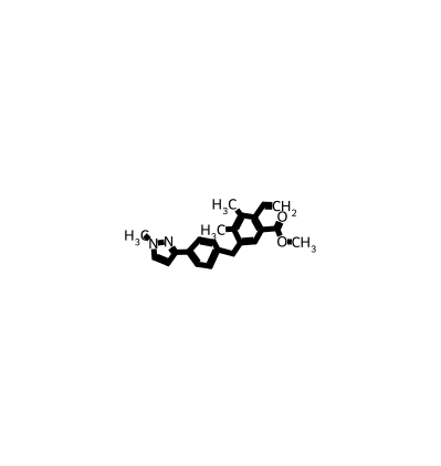 C=Cc1c(C(=O)OC)cc(Cc2ccc(-c3ccn(C)n3)cc2)c(C)c1C